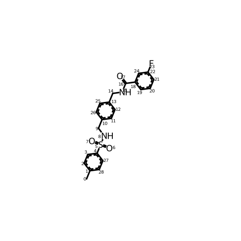 Cc1ccc(S(=O)(=O)NCc2ccc(CNC(=O)c3cccc(F)c3)cc2)cc1